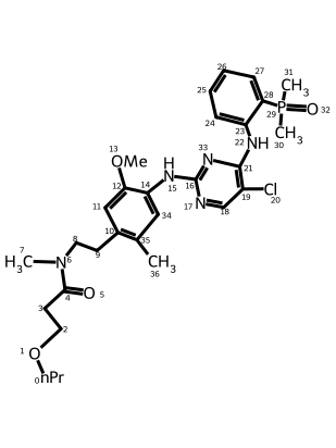 CCCOCCC(=O)N(C)CCc1cc(OC)c(Nc2ncc(Cl)c(Nc3ccccc3P(C)(C)=O)n2)cc1C